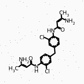 C/C(N)=C/C(=O)Nc1ccc(Cc2ccc(NC(=O)/C=C(/C)N)c(Cl)c2)cc1Cl